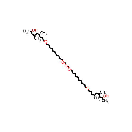 CC(O)CC(C)CC(C)CCCOCCCCCCCCCCOCOCOCCCCCCCCCCOCCCC(C)CC(C)CC(C)O